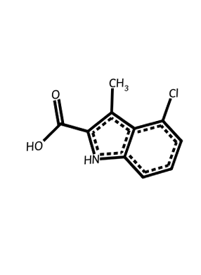 Cc1c(C(=O)O)[nH]c2cccc(Cl)c12